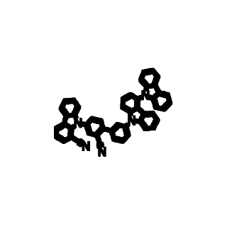 N#Cc1cc(-n2c3ccccc3c3cccc(C#N)c32)ccc1-c1cccc(-n2c3ccccc3c3c(-n4c5ccccc5c5ccccc54)cccc32)c1